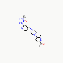 CCNC(=O)Nc1cc(CN2CCN(c3ccc(C(=O)CC)nc3C)CC2)ccn1